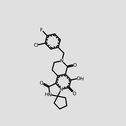 O=C1NC2(CCCC2)n2c1c1c(c(O)c2=O)C(=O)N(Cc2ccc(F)c(Cl)c2)CC1